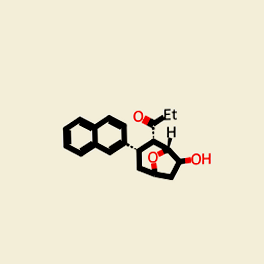 CCC(=O)[C@H]1[C@@H](c2ccc3ccccc3c2)CC2CC(O)[C@@H]1O2